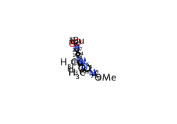 COC1CN(C2CCN(c3cc(C)n(C4CC5(C4)CN(C(=O)OC(C)(C)C)C5)n3)C(C)(C)C2)C1